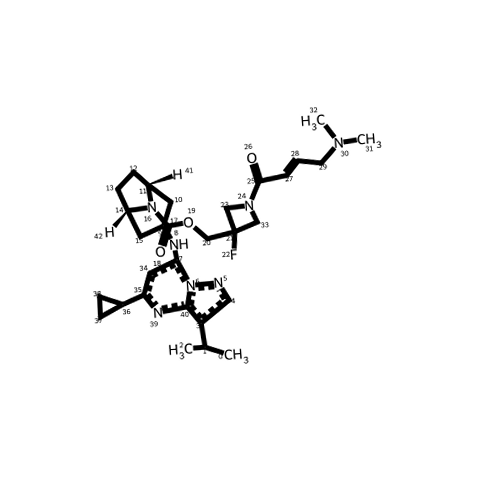 CC(C)c1cnn2c(NC3C[C@H]4CC[C@@H](C3)N4C(=O)OCC3(F)CN(C(=O)/C=C/CN(C)C)C3)cc(C3CC3)nc12